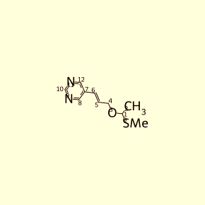 CSC(C)OC/C=C/c1cncnc1